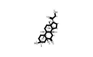 C[C@]1(O)CC[C@@H]2[C@H]3CC[C@]4(C)[C@@H](C(=O)CO)CC[C@H]4[C@@H]3CC(=O)[C@@H]2C1